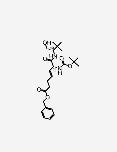 CC(C)(C)OC(=O)N[C@H](C=CCCC(=O)OCc1ccccc1)C(=O)N[C@H](CO)C(C)(C)C